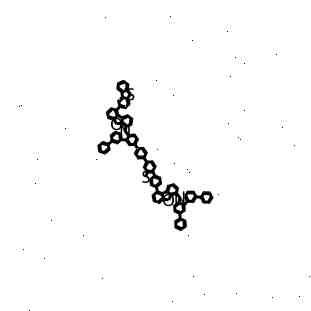 c1ccc(-c2ccc3c(c2)c2cc(-c4ccccc4)ccc2n3-c2cccc3c2oc2cccc(-c4ccc5c(c4)sc4cc(-c6ccc(-c7ccc8c(c7)c7cc(-c9ccccc9)ccc7n8-c7cccc8c7oc7cccc(-c9ccc%10sc%11ccccc%11c%10c9)c78)cc6)ccc45)c23)cc1